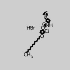 Br.CCCCCCCCCCCCCCOc1ccc(OCC(=O)Nc2cccc(CN3C=CSC3)c2)c(Cl)c1